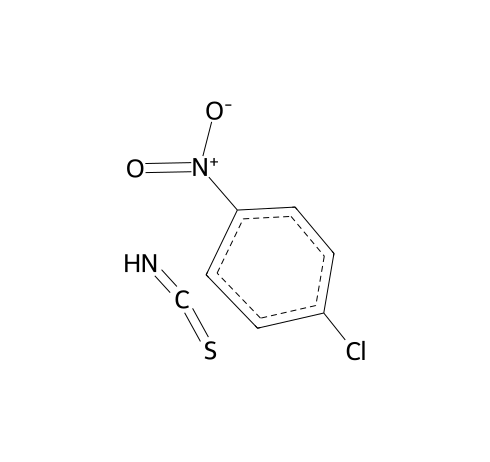 N=C=S.O=[N+]([O-])c1ccc(Cl)cc1